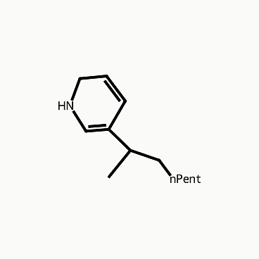 CCCCCCC(C)C1=CNCC=C1